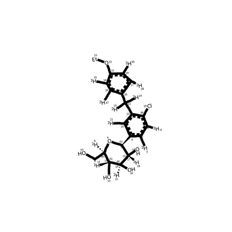 [2H]c1c([2H])c([C@@H]2O[C@]([2H])(CO)[C@@]([2H])(O)[C@]([2H])(O)[C@@]2([2H])O)c([2H])c(C([2H])([2H])c2c([2H])c([2H])c(OCC)c([2H])c2[2H])c1Cl